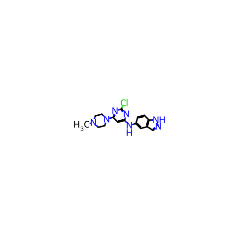 CN1CCN(c2cc(Nc3ccc4[nH]ncc4c3)nc(Cl)n2)CC1